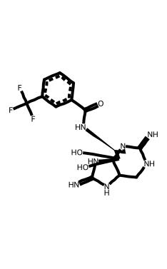 N=C1NC2CNC(=N)N3C[C@H](NC(=O)c4cccc(C(F)(F)F)c4)C(O)(O)C23N1